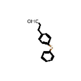 O=CCCc1ccc(Sc2ccccc2)cc1